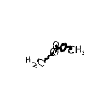 [CH2]CCCCCOOC(=O)c1ccc(CC)cc1